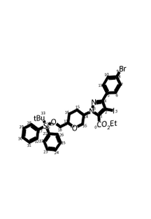 CCOC(=O)c1c(I)c(-c2ccc(Br)cc2)nn1C1CCC(CO[Si](c2ccccc2)(c2ccccc2)C(C)(C)C)OC1